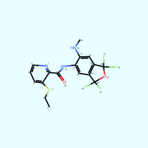 CCSc1cccnc1C(=O)Nc1cc2c(cc1NC)C(F)(F)OC2(F)F